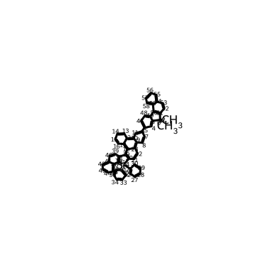 CC1(C)c2cc(-c3ccc4c(c3)c3ccccc3c3c5c(ccc43)[Si](c3ccccc3)(c3ccccc3)c3c-5ccc4ccccc34)ccc2-c2c1ccc1ccccc21